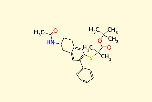 CC(=O)NC1CCc2cc(SC(C)(C)C(=O)OC(C)(C)C)c(-c3ccccc3)cc2C1